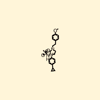 COc1ccc(CCN2CC[N+](NS(C)(=O)=O)(c3ccc(C4CC4)cc3)C2=O)cc1